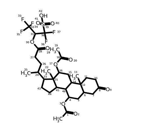 CC(=O)OC1CC2CC(=O)CCC2(C)C2CC(OC(C)=O)C3(C)C(C(C)CCC(=O)OC(C(F)(F)F)C(F)(F)S(=O)(=O)O)CCC3C12